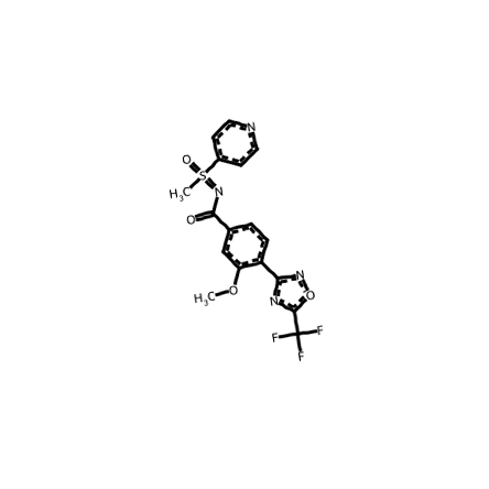 COc1cc(C(=O)N=S(C)(=O)c2ccncc2)ccc1-c1noc(C(F)(F)F)n1